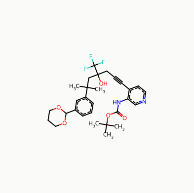 CC(C)(C)OC(=O)Nc1cnccc1C#CCC(O)(CC(C)(C)c1cccc(C2OCCCO2)c1)C(F)(F)F